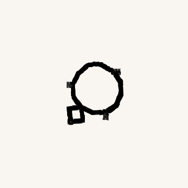 C1CNCCCNCC2(CNC1)COC2